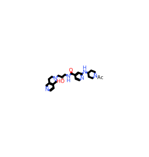 CC(=O)N1CCC(Nc2cc(C(=O)NC[C@H](O)CN3CCc4cnccc4C3)ccn2)CC1